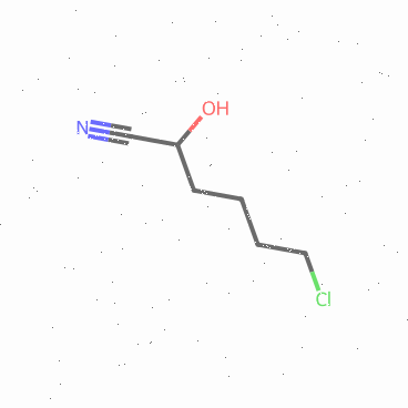 N#CC(O)CCCCCl